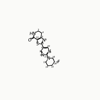 O=C1NCCc2nc(-c3cnc(N4CCC[C@@H](F)C4)nc3)sc21